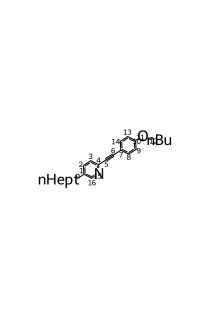 CCCCCCCc1ccc(C#Cc2ccc(OCCCC)cc2)nc1